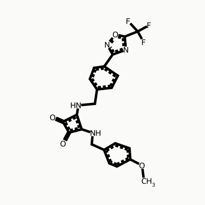 COc1ccc(CNc2c(NCc3ccc(-c4noc(C(F)(F)F)n4)cc3)c(=O)c2=O)cc1